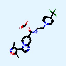 Cc1noc(C)c1-c1cnc2cc(C(=O)NCC[n+]3ccc(C(F)(F)F)cc3)ccn12.O=C[O-]